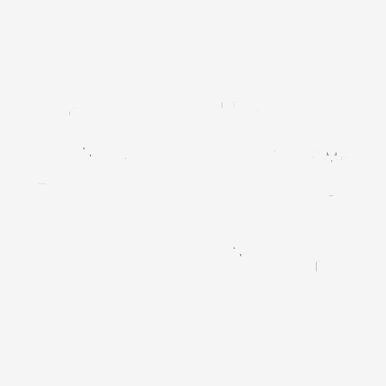 COC(=O)c1c(C(F)F)nc(C(F)(F)F)c(C(S)C(=O)N(C)C)c1CC(C)C